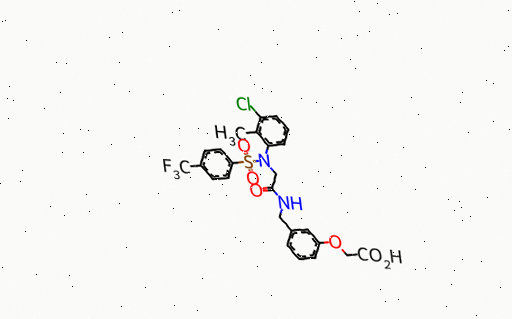 Cc1c(Cl)cccc1N(CC(=O)NCc1cccc(OCC(=O)O)c1)S(=O)(=O)c1ccc(C(F)(F)F)cc1